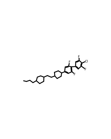 CCCCC1CCC(CCC2CCC(c3cc(F)c(-c4cc(F)c(Cl)c(F)c4)c(F)c3)CC2)CC1